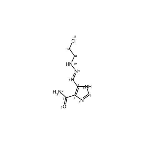 NC(=O)c1nc[nH]c1N=NNCCCl